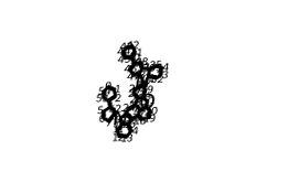 c1ccc(-c2cccc(-n3c4ccccc4c4c5cccc6c5c(cc43)-c3ccc(-n4c5ccccc5c5cc(-c7ccccc7)ccc54)cc3O6)c2)cc1